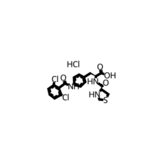 Cl.O=C(Nc1ccc(C[C@H](NC(=O)[C@H]2CSCN2)C(=O)O)cc1)c1c(Cl)cccc1Cl